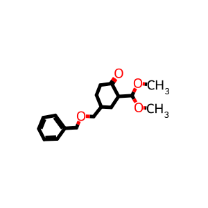 COC(OC)C1CC(COCc2ccccc2)CCC1=O